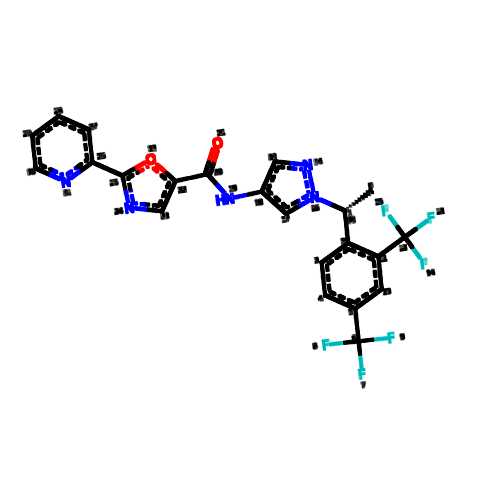 C[C@H](c1ccc(C(F)(F)F)cc1C(F)(F)F)n1cc(NC(=O)c2cnc(-c3ccccn3)o2)cn1